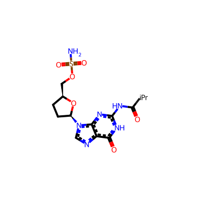 CC(C)C(=O)Nc1nc2c(ncn2[C@H]2CC[C@@H](COS(N)(=O)=O)O2)c(=O)[nH]1